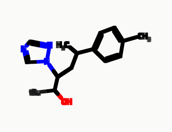 Cc1ccc(C(C)CC(C(O)C(C)(C)C)n2cncn2)cc1